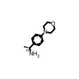 C[C@H](N)c1ccc(N2CCOCC2)cc1